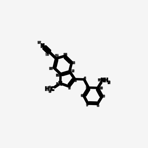 Cn1cc(Cc2ccccc2N)c2ccc(C#N)cc21